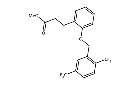 COC(=O)CCc1ccccc1OCc1cc(C(F)(F)F)ccc1C(F)(F)F